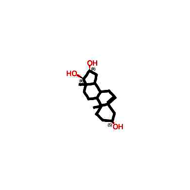 CC12CC[C@H](O)CC1=CCC1C2CCC2(C)C1C[C@@H](O)[C@@H]2O